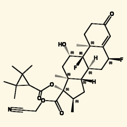 C[C@@H]1C[C@H]2[C@@H]3C[C@H](F)C4=CC(=O)CC[C@]4(C)[C@@]3(F)[C@@H](O)C[C@]2(C)[C@]1(OC(=O)C1C(C)(C)C1(C)C)C(=O)OCC#N